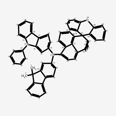 CC1(C)c2ccccc2-c2ccc(N(c3ccc4c5ccccc5n(-c5ccccc5)c4c3)c3ccc4c5c(cccc35)C3(c5ccccc5Oc5ccccc53)c3ccccc3-4)cc21